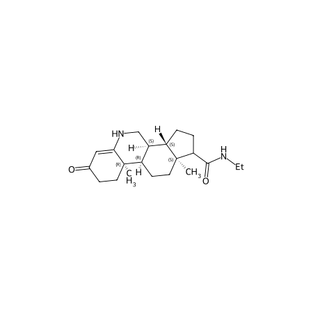 CCNC(=O)C1CC[C@H]2[C@@H]3CNC4=CC(=O)CC[C@]4(C)[C@@H]3CC[C@]12C